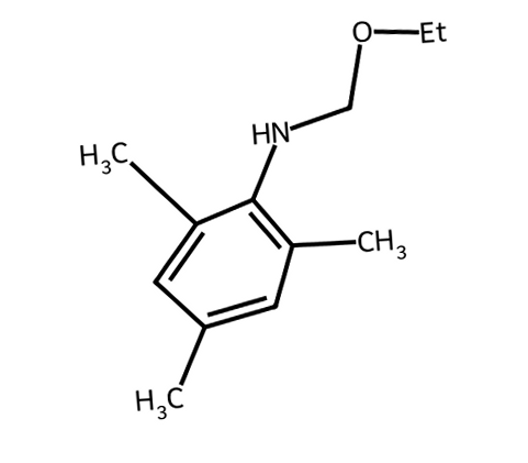 CCOCNc1c(C)cc(C)cc1C